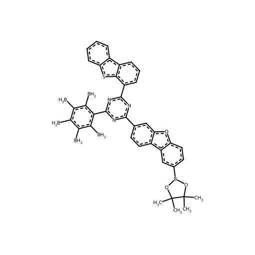 Bc1c(B)c(B)c(-c2nc(-c3ccc4c(c3)oc3ccc(B5OC(C)(C)C(C)(C)O5)cc34)nc(-c3cccc4c3sc3ccccc34)n2)c(B)c1B